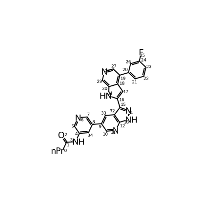 CCCC(=O)Nc1cncc(-c2cnc3[nH]nc(-c4cc5c(-c6cccc(F)c6)cncc5[nH]4)c3c2)c1